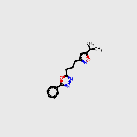 CC(C)c1cc(CCCc2nnc(-c3ccccc3)o2)no1